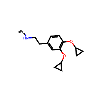 CCCNCCc1ccc(OC2CC2)c(OC2CC2)c1